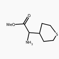 COC(=O)C(N)C1CCSCC1